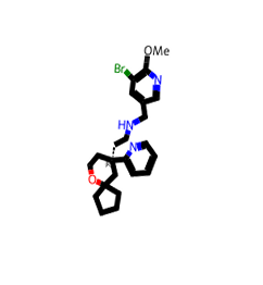 COc1ncc(CNCC[C@@]2(c3ccccn3)CCOC3(CCCC3)C2)cc1Br